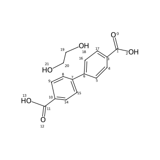 O=C(O)c1ccc(-c2ccc(C(=O)O)cc2)cc1.OCCO